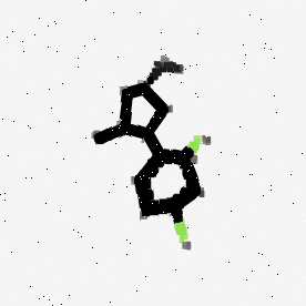 CN[C@H]1CC(C)C(c2ccc(F)cc2F)C1